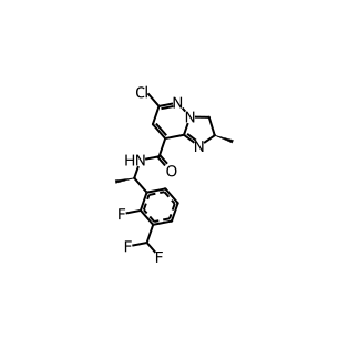 C[C@@H]1CN2N=C(Cl)C=C(C(=O)N[C@H](C)c3cccc(C(F)F)c3F)C2=N1